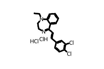 CCN1CCN=C(C=Cc2ccc(Cl)c(Cl)c2)c2ccccc21.Cl.Cl